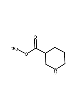 CC(C)(C)OC(=O)C1CCCNC1